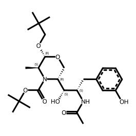 CC(=O)N[C@@H](Cc1cccc(O)c1)[C@H](O)[C@H]1CO[C@@H](OCC(C)(C)C)[C@H](C)N1C(=O)OC(C)(C)C